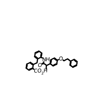 CC(C(=O)Nc1ccccc1Cc1ccccc1C(=O)O)c1ccc(OCCc2ccccc2)cc1